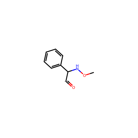 CONC([C]=O)c1ccccc1